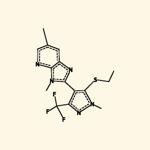 CCSc1c(-c2nc3cc(C)cnc3n2C)c(C(F)(F)F)nn1C